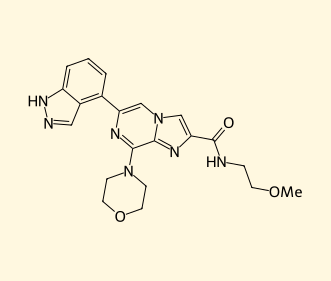 COCCNC(=O)c1cn2cc(-c3cccc4[nH]ncc34)nc(N3CCOCC3)c2n1